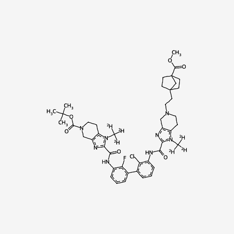 [2H]C([2H])([2H])n1c(C(=O)Nc2cccc(-c3cccc(NC(=O)c4nc5c(n4C([2H])([2H])[2H])CCN(CCC46CCC(C(=O)OC)(CC4)C6)C5)c3Cl)c2F)nc2c1CCN(C(=O)OC(C)(C)C)C2